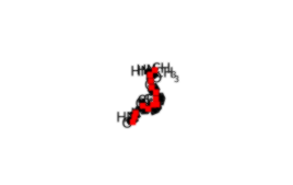 COc1nc(-c2cccc(-c3cccc(-c4ccc(OCCN5C(=N)NC(C)(C)C5=O)cc4)c3Cl)c2Cl)ccc1CN1CC2(CCC(=O)N2)C1